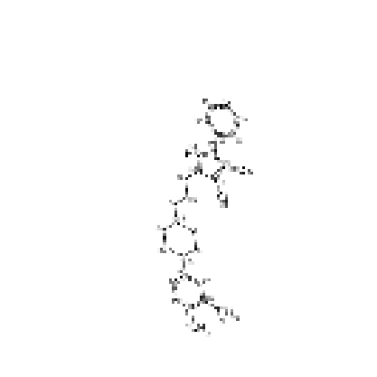 Cc1ccc(N2CCN(CCCc3[nH]n(-c4ccccc4)c(=O)c3Cl)CC2)cc1C